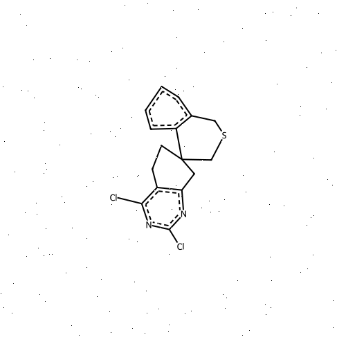 Clc1nc(Cl)c2c(n1)CC1(CC2)CSCc2ccccc21